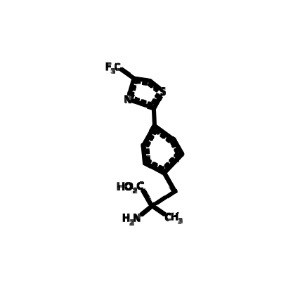 CC(N)(Cc1ccc(-c2nc(C(F)(F)F)cs2)cc1)C(=O)O